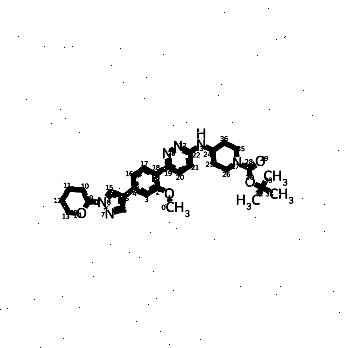 COc1cc(-c2cnn(C3CCCCO3)c2)ccc1-c1ccc(NC2CCN(C(=O)OC(C)(C)C)CC2)nn1